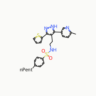 CCCCCc1ccc(S(=O)(=O)NCCc2c(-c3cccs3)n[nH]c2-c2ccc(C)nc2)cc1